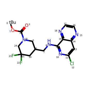 CC(C)(C)OC(=O)N1CC(CNc2nc(Cl)cc3nccnc23)CC(F)(F)C1